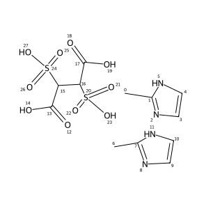 Cc1ncc[nH]1.Cc1ncc[nH]1.O=C(O)C(C(C(=O)O)S(=O)(=O)O)S(=O)(=O)O